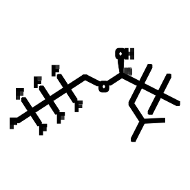 CC(C)CC(C)([C@H](O)OCC(F)(F)C(F)(F)C(F)(F)F)C(C)(C)C